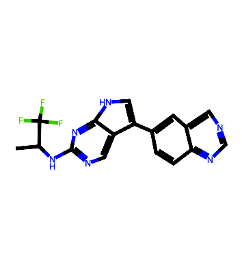 CC(Nc1ncc2c(-c3ccc4ncncc4c3)c[nH]c2n1)C(F)(F)F